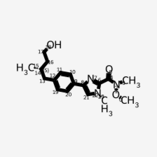 CON(C)C(=O)c1nc(-c2ccc(C[C@H](C)CCO)cc2)cn1C